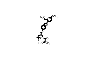 C=C(C)C(=O)OCC(COc1ccc2cc(-c3ccc(CC)nc3CC)oc2c1)CC(F)(F)F